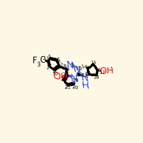 Oc1cc(C(F)(F)F)ccc1-c1nnc(N[C@@H]2CC[C@@H](O)C2)n2cccc12